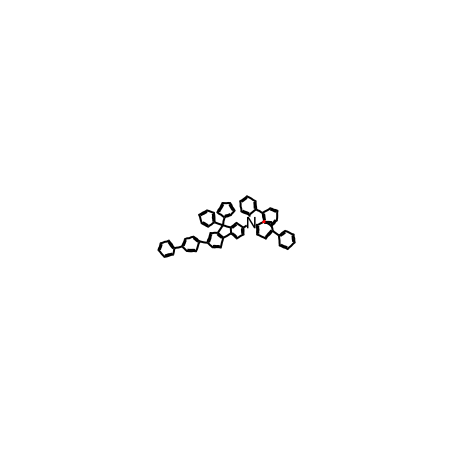 c1ccc(-c2ccc(-c3ccc4c(c3)C(c3ccccc3)(c3ccccc3)c3cc(N(c5ccc(-c6ccccc6)cc5)c5ccccc5-c5ccccc5)ccc3-4)cc2)cc1